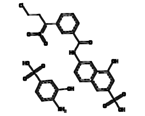 Nc1ccc(S(=O)(=O)O)cc1O.O=C(Nc1ccc2cc(S(=O)(=O)O)cc(O)c2c1)c1cccc(C(CCCl)=S(=O)=O)c1